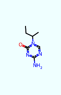 CCC(C)n1cnc(N)nc1=O